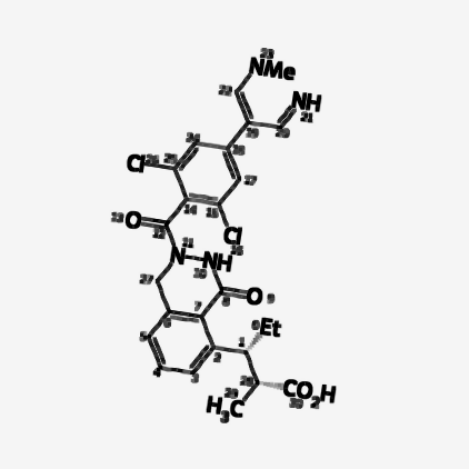 CC[C@@H](c1cccc2c1C(=O)NN(C(=O)c1c(Cl)cc(/C(C=N)=C/NC)cc1Cl)C2)[C@@H](C)C(=O)O